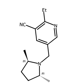 CCc1ncc(CN2[C@H](C)CC[C@H]2C)cc1C#N